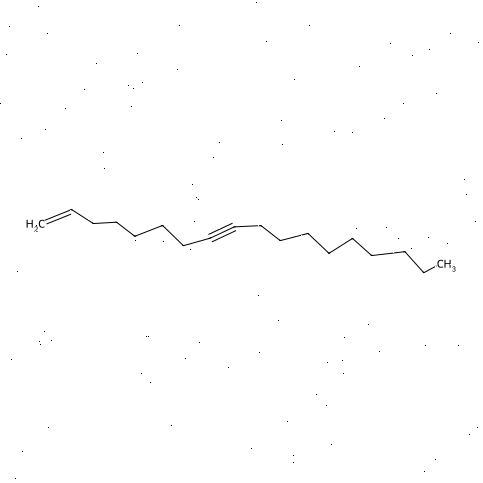 C=CCCCCCC#CCCCCCCCCC